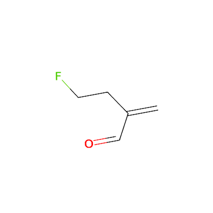 C=C(C=O)CCF